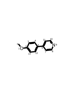 COc1ccc(-c2[c]cncc2)cc1